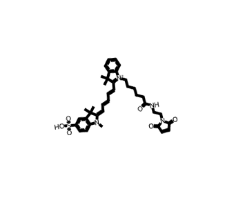 CN1/C(=C/C=C/C=C/C2=[N+](CCCCCC(=O)NCCN3C(=O)C=CC3=O)c3ccccc3C2(C)C)C(C)(C)c2cc(S(=O)(=O)O)ccc21